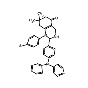 CC1(C)CC(=O)C2=C(C1)N(c1ccc(Br)cc1)C(c1ccc(N(c3ccccc3)c3ccccc3)cc1)NC2